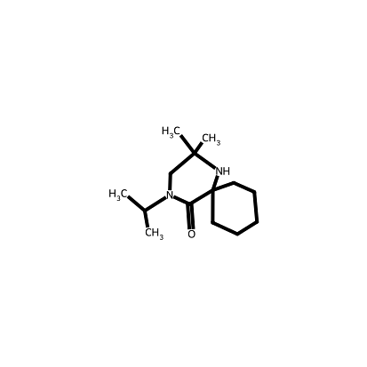 CC(C)N1CC(C)(C)NC2(CCCCC2)C1=O